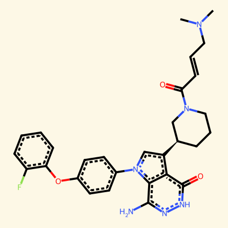 CN(C)C/C=C/C(=O)N1CCC[C@@H](c2cn(-c3ccc(Oc4ccccc4F)cc3)c3c(N)n[nH]c(=O)c23)C1